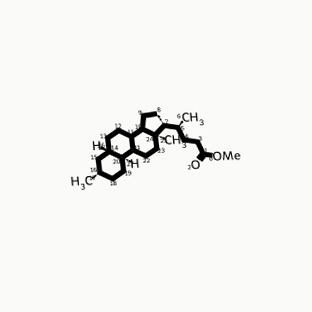 COC(=O)CC[C@@H](C)[C@H]1CCC2C3CC[C@H]4C[C@@H](C)CC[C@@H]4C3CC[C@@]21C